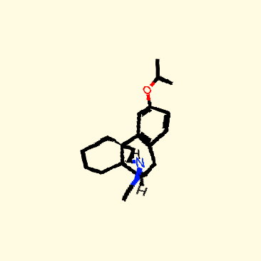 CC(C)Oc1ccc2c(c1)[C@@]13CCCC[C@@H]1[C@@H](C2)N(C)CC3